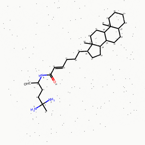 CC(N)(N)CCC(C=O)NC(=O)/C=C/CCCC1CCC2C3CCC4CCCCC4(C)C3CCC12C